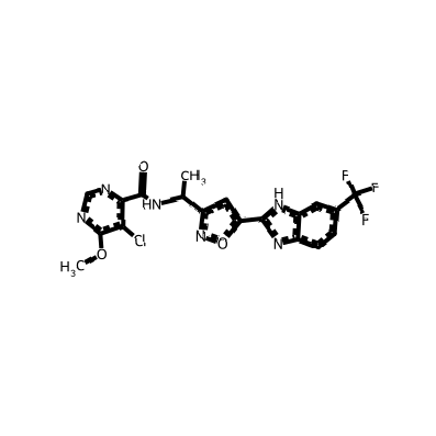 COc1ncnc(C(=O)NC(C)c2cc(-c3nc4ccc(C(F)(F)F)cc4[nH]3)on2)c1Cl